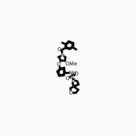 COC1CN(C(=O)c2cc(C)ccc2C)CC1Oc1cccc(NS(=O)(=O)N2CCC3(CCOC3)C2)c1